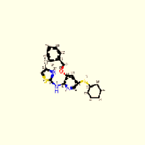 Cc1csc(Nc2ncc(SC3CCCCC3)cc2OCc2ccccc2)n1